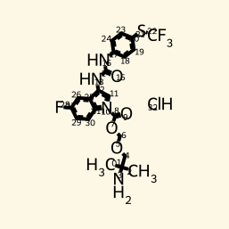 CC(C)(N)COCOC(=O)n1cc(NC(=O)Nc2ccc(SC(F)(F)F)cc2)c2cc(F)ccc21.Cl